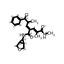 CNC(=O)/C(C)=C/C(=C\C(C)C(Cl)c1ccccc1)C(=O)NC1C2COCC21